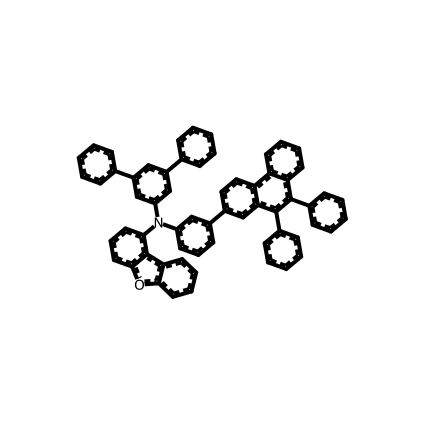 c1ccc(-c2cc(-c3ccccc3)cc(N(c3cccc(-c4ccc5c(c4)c(-c4ccccc4)c(-c4ccccc4)c4ccccc45)c3)c3cccc4oc5ccccc5c34)c2)cc1